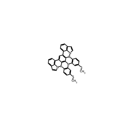 CSc1ccc2c(c1)N1c3cc(SC)ccc3B3c4c(cc5c(c41)B2n1ccc2cccc-5c21)-c1cccc2ccn3c12